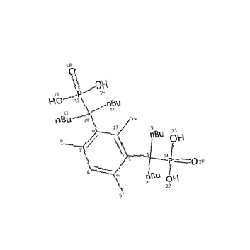 CCCCC(CCCC)(c1c(C)cc(C)c(C(CCCC)(CCCC)P(=O)(O)O)c1C)P(=O)(O)O